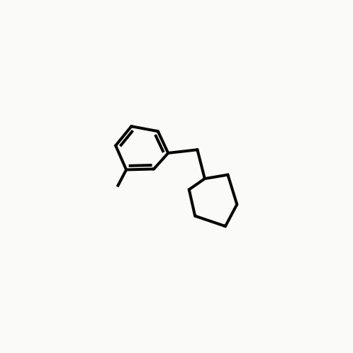 Cc1cccc(CC2CCCCC2)c1